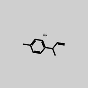 C=CC(C)c1ccc(C)cc1.[Ru]